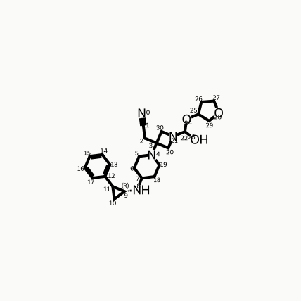 N#CCC1(N2CCC(N[C@@H]3CC3c3ccccc3)CC2)CN(C(O)OC2CCOC2)C1